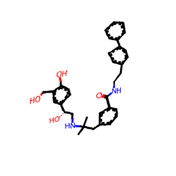 CC(C)(Cc1cccc(C(=O)NCCc2ccc(-c3ccccc3)cc2)c1)NC[C@H](O)c1ccc(O)c(CO)c1